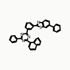 c1ccc(-c2ccc3nc(-c4cccc(-c5nc(-c6ccccc6)nc(-c6cccc7ccccc67)n5)c4)sc3c2)cc1